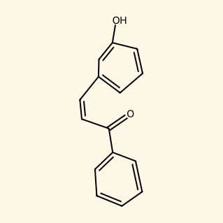 O=C(/C=C\c1cccc(O)c1)c1ccccc1